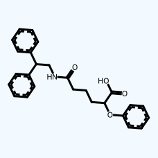 O=C(CCCC(Oc1ccccc1)C(=O)O)NCC(c1ccccc1)c1ccccc1